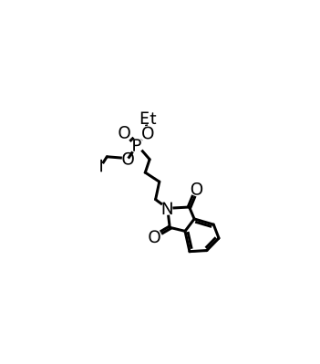 CCOP(=O)(CCCCN1C(=O)c2ccccc2C1=O)OCI